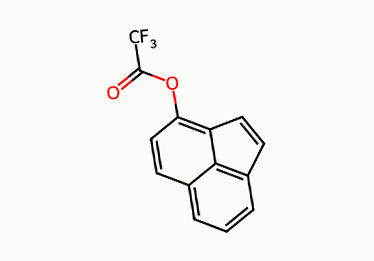 O=C(Oc1ccc2cccc3c2c1C=C3)C(F)(F)F